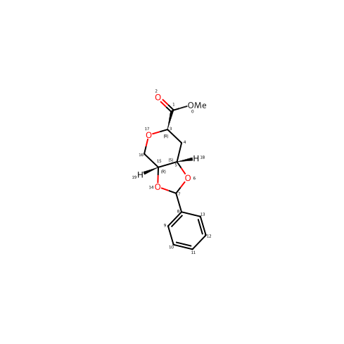 COC(=O)[C@H]1C[C@@H]2OC(c3ccccc3)O[C@@H]2CO1